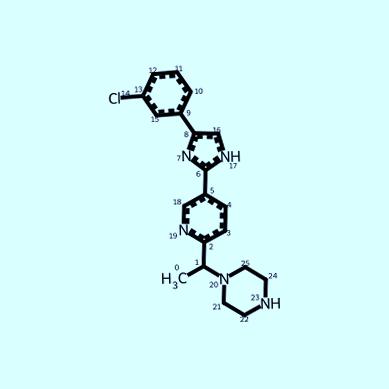 CC(c1ccc(-c2nc(-c3cccc(Cl)c3)c[nH]2)cn1)N1CCNCC1